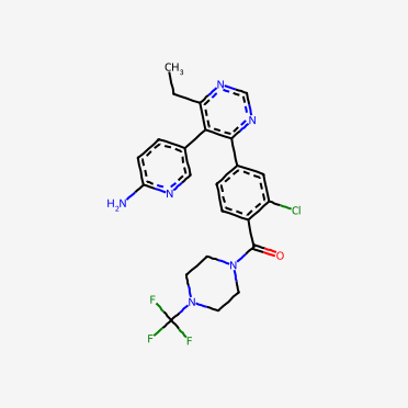 CCc1ncnc(-c2ccc(C(=O)N3CCN(C(F)(F)F)CC3)c(Cl)c2)c1-c1ccc(N)nc1